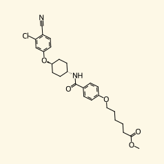 COC(=O)CCCCCOc1ccc(C(=O)N[C@H]2CC[C@H](Oc3ccc(C#N)c(Cl)c3)CC2)cc1